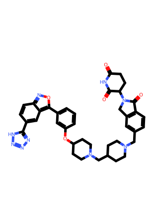 O=C1CCC(N2Cc3cc(CN4CCC(CN5CCC(Oc6cccc(-c7onc8ccc(-c9nnn[nH]9)cc78)c6)CC5)CC4)ccc3C2=O)C(=O)N1